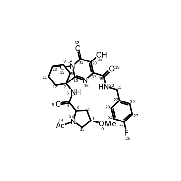 CO[C@@H]1CC(C(=O)NC23CCC(CC2)Cn2c3nc(C(=O)NCc3ccc(F)cc3)c(O)c2=O)N(C(C)=O)C1